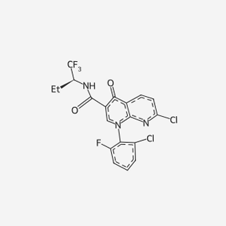 CC[C@H](NC(=O)c1cn(-c2c(F)cccc2Cl)c2nc(Cl)ccc2c1=O)C(F)(F)F